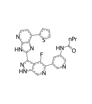 CCCC(=O)Nc1cncc(-c2ncc3[nH]nc(-c4nc5c(-c6cccs6)ccnc5[nH]4)c3c2F)c1